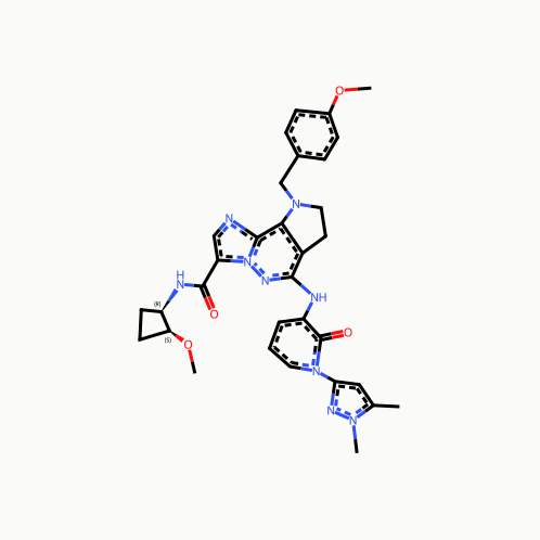 COc1ccc(CN2CCc3c(Nc4cccn(-c5cc(C)n(C)n5)c4=O)nn4c(C(=O)N[C@@H]5CC[C@@H]5OC)cnc4c32)cc1